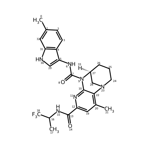 Cc1ccc2c(NC(=O)N3c4nc(C(=O)NC(C)C(F)(F)F)cc(C)c4N4CCC[C@H]3C4)c[nH]c2c1